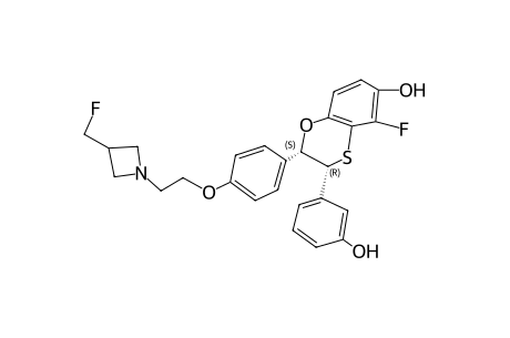 Oc1cccc([C@H]2Sc3c(ccc(O)c3F)O[C@H]2c2ccc(OCCN3CC(CF)C3)cc2)c1